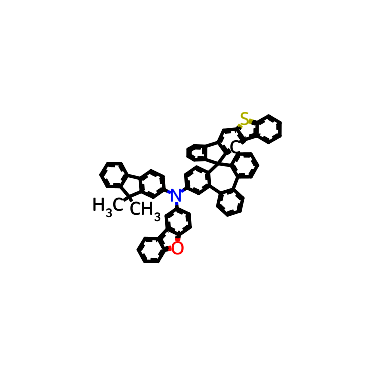 CC1(C)c2ccccc2-c2ccc(N(c3ccc4c(c3)-c3ccccc3-c3ccccc3C43c4ccccc4-c4cc5sc6ccccc6c5cc43)c3ccc4oc5ccccc5c4c3)cc21